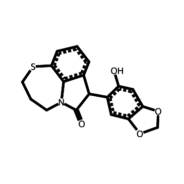 O=C1C(c2cc3c(cc2O)OCO3)c2cccc3c2N1CCCS3